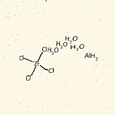 O.O.O.O.[AlH3].[Cl][Zr]([Cl])([Cl])[Cl]